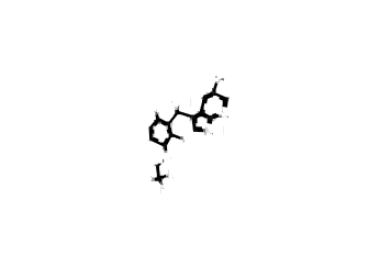 OC(c1c(Cl)ccc(OCC(F)(F)F)c1F)c1c[nH]c2ncc(Br)cc12